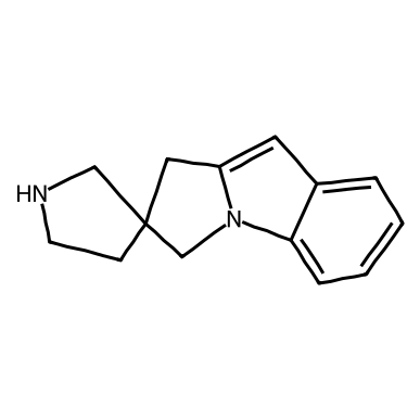 c1ccc2c(c1)cc1n2CC2(CCNC2)C1